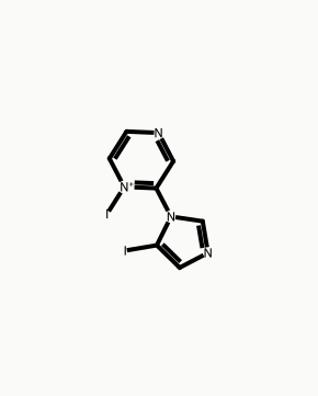 Ic1cncn1-c1cncc[n+]1I